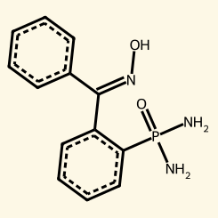 NP(N)(=O)c1ccccc1C(=NO)c1ccccc1